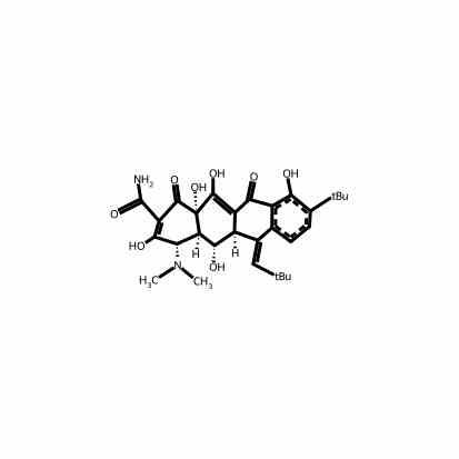 CN(C)[C@@H]1C(O)=C(C(N)=O)C(=O)[C@@]2(O)C(O)=C3C(=O)c4c(ccc(C(C)(C)C)c4O)/C(=C\C(C)(C)C)[C@H]3[C@H](O)[C@@H]12